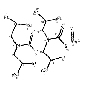 CCCCC(CC)CN(CC(CC)CCCC)C(=S)[S-].CCCCC(CC)CN(CC(CC)CCCC)C(=S)[S-].[S]=[Mo+2]